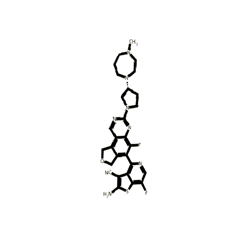 CN1CCCN([C@@H]2CCN(c3ncc4c5c(c(-c6ncc(F)c7sc(N)c(C#N)c67)c(F)c4n3)COC5)C2)CC1